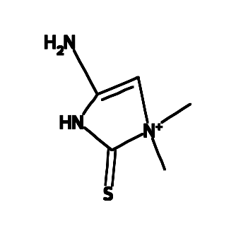 C[N+]1(C)C=C(N)NC1=S